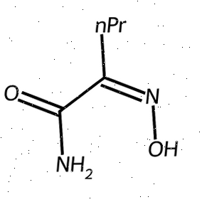 CCCC(=NO)C(N)=O